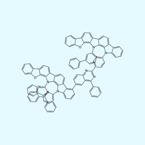 c1ccc(-c2cccc(-n3c4cccc(-c5ccc6nc(-c7ccc(-n8c9ccccc9c9ccc%10c%11ccc%12c%13ccccc%13oc%12c%11n(-c%11cccc(-c%12ccccc%12)c%11)c%10c98)cc7)nc(-c7ccccc7)c6c5)c4c4ccc5c6ccc7c8ccccc8oc7c6n(-c6nc(-c7ccccc7)c7ccccc7n6)c5c43)c2)cc1